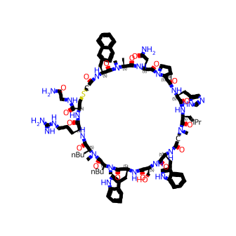 CCCC[C@H]1C(=O)N(C)[C@@H](CCCC)C(=O)N[C@@H](CCCNC(=N)N)C(=O)N[C@@H](C(=O)NCC(N)=O)CSCC(=O)N[C@@H](Cc2ccc3ccccc3c2)C(=O)N(C)[C@@H](C)C(=O)N[C@@H](CC(N)=O)C(=O)N2CCC[C@H]2C(=O)N[C@@H](Cc2cnc[nH]2)C(=O)N[C@@H](CC(C)C)C(=O)N(C)CC(=O)N[C@@H](Cc2c[nH]c3ccccc23)C(=O)N[C@@H](CO)C(=O)N[C@@H](Cc2c[nH]c3ccccc23)C(=O)N1C